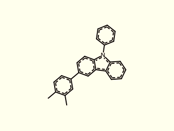 Cc1ccc(-c2ccc3c(c2)c2ccccc2n3-c2ccccc2)cc1C